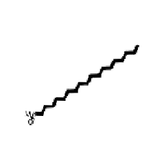 CCCCCCCCCCCCCCCCC[CH2][Mo]=[O]